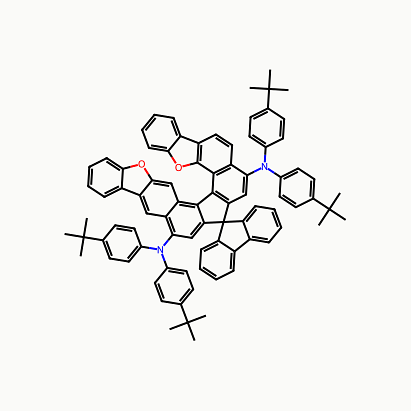 CC(C)(C)c1ccc(N(c2ccc(C(C)(C)C)cc2)c2cc3c(c4cc5oc6ccccc6c5cc24)-c2c(cc(N(c4ccc(C(C)(C)C)cc4)c4ccc(C(C)(C)C)cc4)c4ccc5c6ccccc6oc5c24)C32c3ccccc3-c3ccccc32)cc1